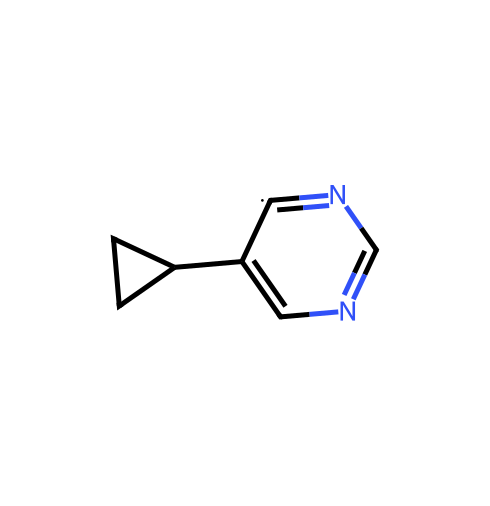 [c]1ncncc1C1CC1